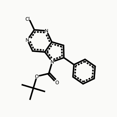 CC(C)(C)OC(=O)n1c(-c2ccccc2)cc2nc(Cl)ncc21